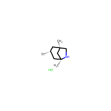 CC[C@@H]1C[C@@]2(C)CN[C@@](C)(C1)C2.Cl